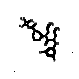 C=CC[C@@H](Nc1cc(F)cc(Cl)c1)C(=O)N(CC=C)[C@@H]1CCCN(C(=O)OC(C)(C)C)C1